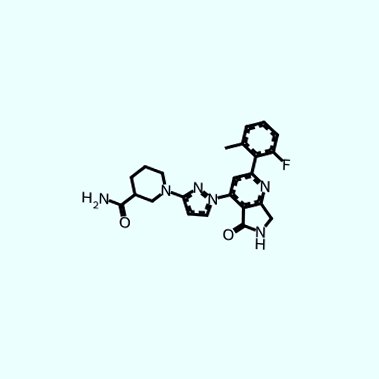 Cc1cccc(F)c1-c1cc(-n2ccc(N3CCCC(C(N)=O)C3)n2)c2c(n1)CNC2=O